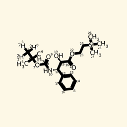 [2H]C([2H])([2H])C(C)(C)OC(=O)N[C@@H](c1ccccc1)[C@@H](O)C(=O)OCC[Si](C)(C)C